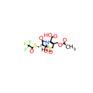 CC(=O)OCC1=C(C(=O)O)N2C(=O)[C@@H](CSC(=O)C(F)(F)F)[C@H]2S(=O)(=O)C1